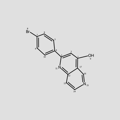 Oc1cc(-c2ccc(Br)cc2)nc2ccncc12